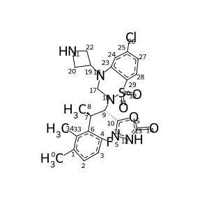 Cc1ccc(F)c([C@@H](C)[C@@H](c2n[nH]c(=O)o2)N2CN(C3CNC3)c3cc(Cl)ccc3S2(=O)=O)c1C